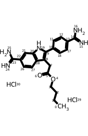 CCCCOC(=O)Cc1c(-c2ccc(C(=N)N)cc2)[nH]c2cc(C(=N)N)ccc12.Cl.Cl